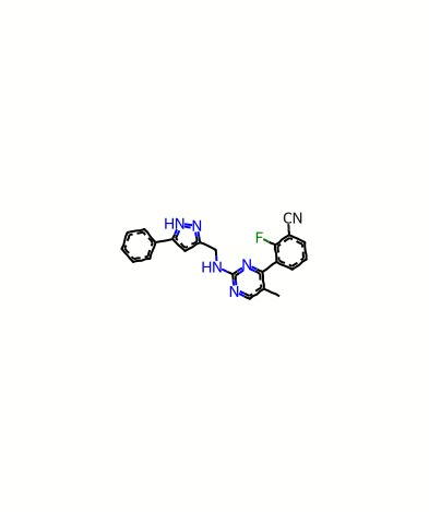 Cc1cnc(NCc2cc(-c3ccccc3)[nH]n2)nc1-c1cccc(C#N)c1F